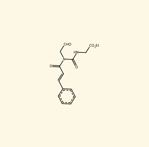 CCOC(=O)CNC(=O)N(C[C]=O)C(=O)/C=C/c1ccccc1